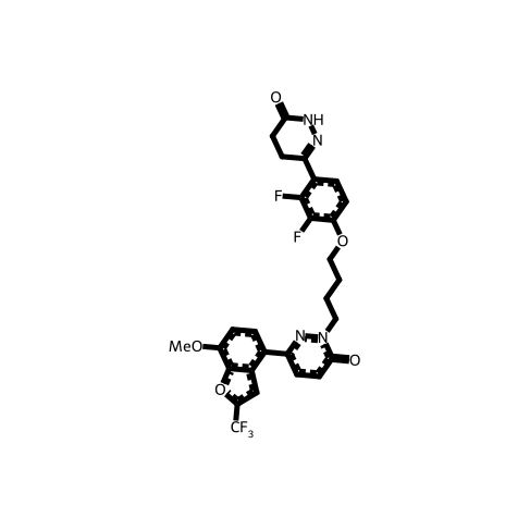 COc1ccc(-c2ccc(=O)n(CCCCOc3ccc(C4=NNC(=O)CC4)c(F)c3F)n2)c2cc(C(F)(F)F)oc12